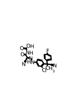 CC(C#N)(c1ccc(F)cc1)c1ccc(N/N=C(\C#N)C(=O)NC(=O)O)cc1Cl